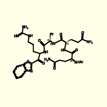 CC(=O)N[C@@H](CCC(N)=O)C(=O)N[C@@H](CCC(N)=O)C(=O)N[C@H](C(=O)NC(CCCNC(=N)N)C(=O)c1nc2ccccc2s1)C(C)C